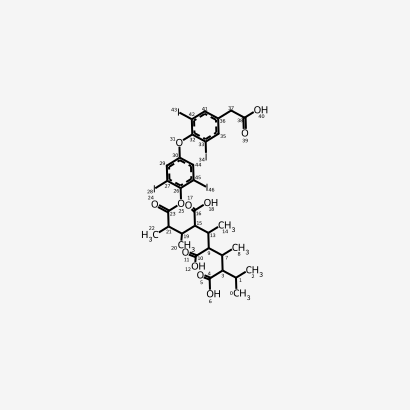 CC(C)C(C(=O)O)C(C)C(C(=O)O)C(C)C(C(=O)O)C(C)C(C)C(=O)Oc1c(I)cc(Oc2c(I)cc(CC(=O)O)cc2I)cc1I